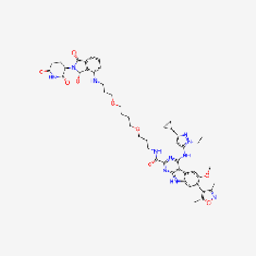 CCn1nc(C2CC2)cc1Nc1nc(C(=O)NCCCOCCCCOCCCNc2cccc3c2C(=O)N(C2CCC(=O)NC2=O)C3=O)nc2[nH]c3cc(-c4c(C)noc4C)c(OC)cc3c12